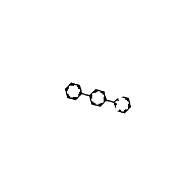 c1ccc(-c2ccc(-c3ncccn3)cc2)cc1